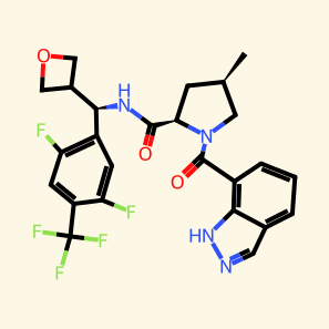 C[C@@H]1C[C@H](C(=O)N[C@@H](c2cc(F)c(C(F)(F)F)cc2F)C2COC2)N(C(=O)c2cccc3cn[nH]c23)C1